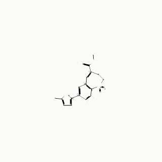 COC(=O)C1=Cc2cc(-c3ccc(C)s3)ccc2S(=O)(=O)CC1